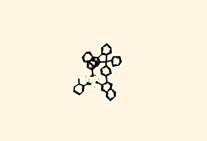 CC1CC=CC=C1c1nc(-c2ccccc2)nc(-c2cc3ccccc3cc2-c2ccc(C3(c4ccccc4)c4ccccc4-c4c3ccc3ccccc43)cc2)n1